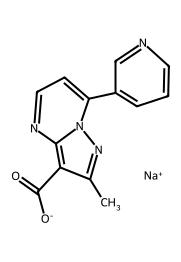 Cc1nn2c(-c3cccnc3)ccnc2c1C(=O)[O-].[Na+]